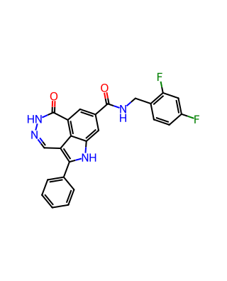 O=C(NCc1ccc(F)cc1F)c1cc2c3c(c(-c4ccccc4)[nH]c3c1)C=NNC2=O